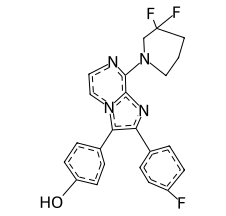 Oc1ccc(-c2c(-c3ccc(F)cc3)nc3c(N4CCCC(F)(F)C4)nccn23)cc1